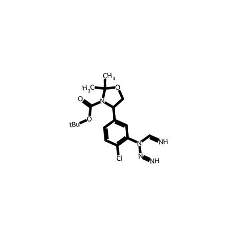 CC(C)(C)OC(=O)N1C(c2ccc(Cl)c(N(C=N)N=N)c2)COC1(C)C